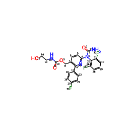 NC(=O)N(c1ccc(COC(=O)NCCO)c(-c2ccc(F)cc2)n1)c1c(F)cccc1F